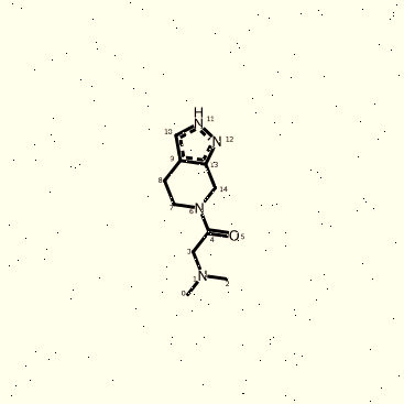 CN(C)CC(=O)N1CCc2c[nH]nc2C1